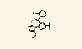 OCc1nnc2n1-c1ccc(C(F)(F)F)cc1C(c1ccccc1Cl)=NC2